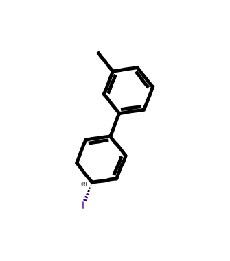 Cc1cccc(C2=CC[C@@H](I)C=C2)c1